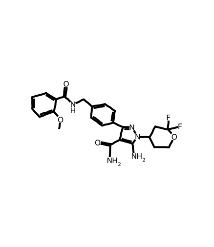 COc1ccccc1C(=O)NCc1ccc(-c2nn(C3CCOC(F)(F)C3)c(N)c2C(N)=O)cc1